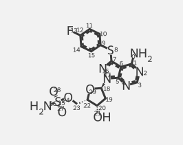 Nc1ncnc2c1c(Sc1ccc(F)cc1)nn2[C@H]1C[C@H](O)[C@H](COS(N)(=O)=O)O1